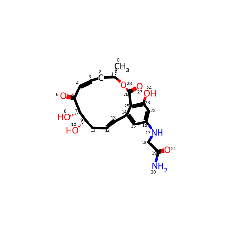 C[C@H]1C/C=C\C(=O)[C@@H](O)[C@@H](O)C/C=C/c2cc(NCC(N)=O)cc(O)c2C(=O)O1